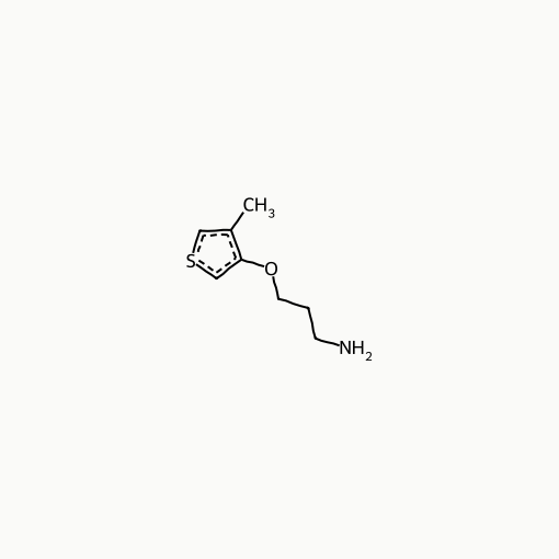 Cc1cscc1OCCCN